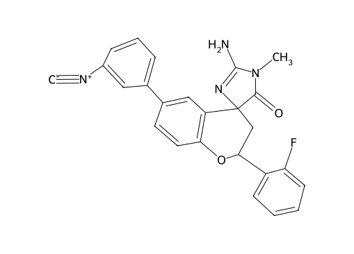 [C-]#[N+]c1cccc(-c2ccc3c(c2)C2(CC(c4ccccc4F)O3)N=C(N)N(C)C2=O)c1